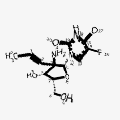 CC#CC1(N)[C@@H](O)[C@@H](CO)O[C@H]1n1cc(F)c(=O)[nH]c1=O